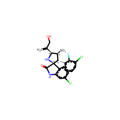 C=C(CO)[C@@H]1N[C@@]2(C(=O)Nc3cc(Cl)ccc32)[C@@H](c2cccc(Cl)c2F)[C@@H]1[N+](=O)[O-]